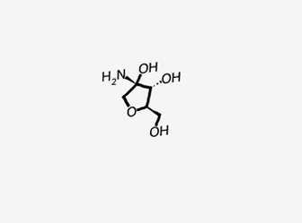 N[C@]1(O)CO[C@H](CO)[C@H]1O